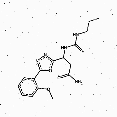 CCCNC(=S)NC(CC(N)=O)c1nnc(-c2ccccc2OC)o1